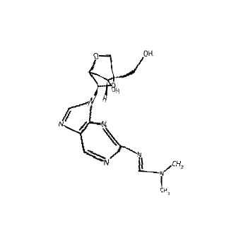 CN(C)/C=N/c1ncc2ncn([C@@H]3O[C@@]4(CO)COC3[C@H]4O)c2n1